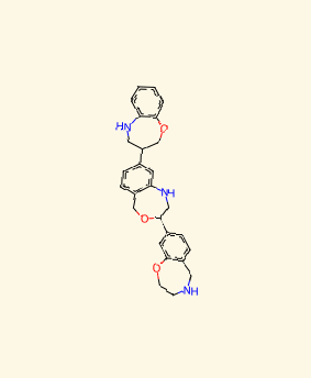 c1ccc2c(c1)NCC(c1ccc3c(c1)NCC(c1ccc4c(c1)OCCNC4)OC3)CO2